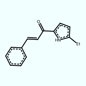 CCc1ccc(C(=O)/C=C/c2ccccc2)[nH]1